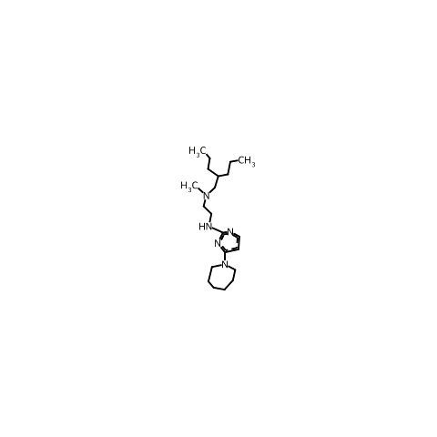 CCCC(CCC)CN(C)CCNc1nccc(N2CCCCCC2)n1